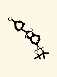 CC1(C)OB(c2ccc3oc(-c4ccc(Cl)cc4)nc3c2)OC1(C)C